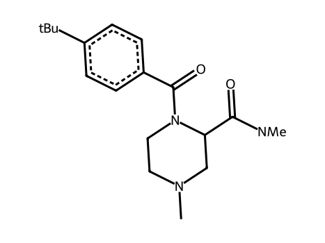 CNC(=O)C1CN(C)CCN1C(=O)c1ccc(C(C)(C)C)cc1